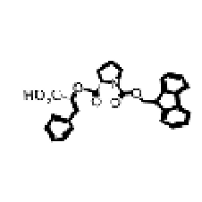 O=C(O)[C@@H](Cc1ccccc1)OC(=O)[C@@H]1CCCN1C(=O)OCC1c2ccccc2-c2ccccc21